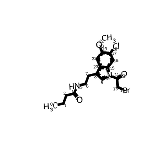 CCCC(=O)NCCc1cn(C(=O)CBr)c2cc(Cl)c(OC)cc12